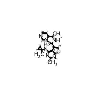 Cc1nc(NC2(C)CC2)c2c(C(=O)NC(C)c3ccncn3)coc2n1